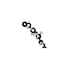 CC(C)Cn1cc(-c2cc(=O)n(CC3(O)CCN(C(=O)C[C@@H](C)c4ccccc4)CC3)cn2)cn1